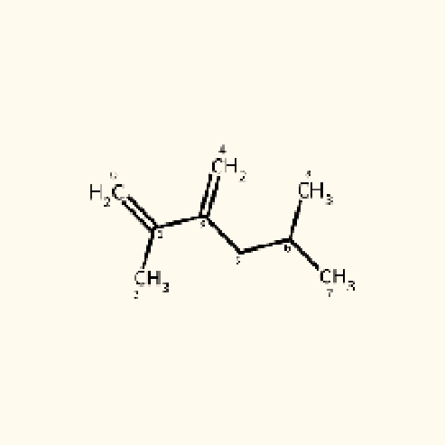 C=C(C)C(=C)CC(C)C